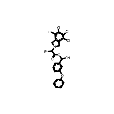 CC(C)C(C(=O)OC(C#N)c1cccc(Oc2ccccc2)c1)N1Cc2c(Cl)c(Cl)c(Cl)c(Cl)c2C1